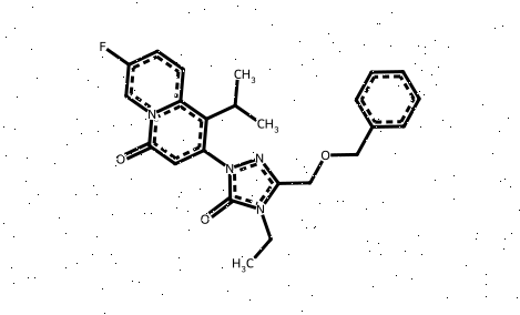 CCn1c(COCc2ccccc2)nn(-c2cc(=O)n3cc(F)ccc3c2C(C)C)c1=O